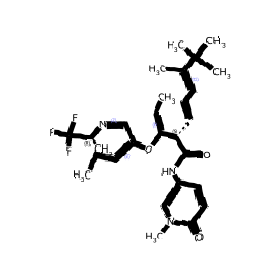 C/C=C(/OC(/C=N\[C@H](C)C(F)(F)F)=C/CC)[C@H](C=C/C=C(\C)C(C)(C)C)C(=O)Nc1ccc(=O)n(C)c1